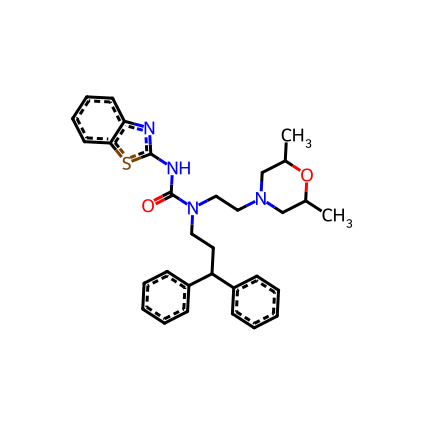 CC1CN(CCN(CCC(c2ccccc2)c2ccccc2)C(=O)Nc2nc3ccccc3s2)CC(C)O1